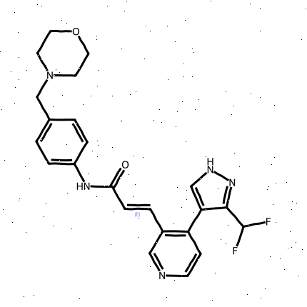 O=C(/C=C/c1cnccc1-c1c[nH]nc1C(F)F)Nc1ccc(CN2CCOCC2)cc1